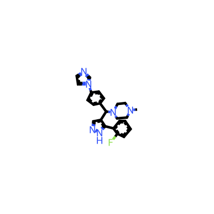 CN1CCN(C(c2ccc(-n3ccnc3)cc2)c2cn[nH]c2-c2ccccc2F)CC1